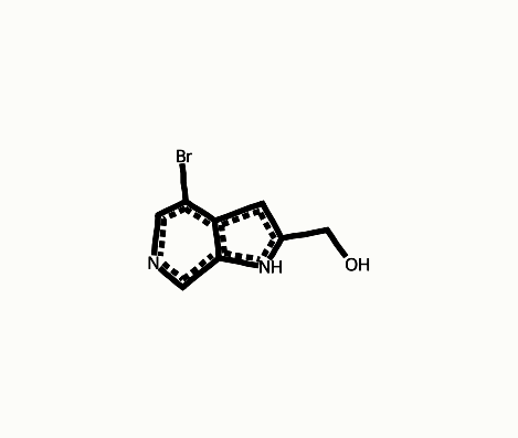 OCc1cc2c(Br)cncc2[nH]1